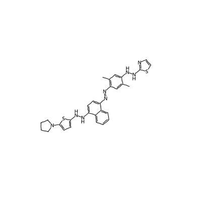 Cc1cc(NNc2nccs2)c(C)cc1/N=N/c1ccc(NNc2ccc(N3CCCC3)s2)c2ccccc12